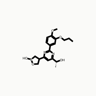 CCCOc1cc(-c2nc(C3COB(O)C3)cc([C@@H](C)O)n2)ccc1OC